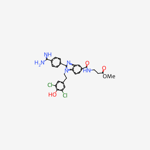 COC(=O)CCNC(=O)c1ccc2c(c1)nc(-c1ccc(C(=N)N)cc1)n2CCc1cc(Cl)c(O)c(Cl)c1